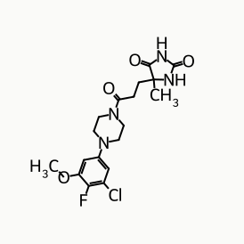 COc1cc(N2CCN(C(=O)CCC3(C)NC(=O)NC3=O)CC2)cc(Cl)c1F